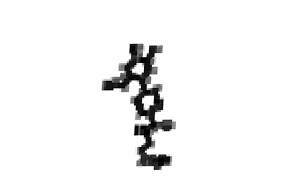 CCOC(=O)CCNC(=O)c1ccc(-c2cc(F)c(F)cc2CBr)cn1